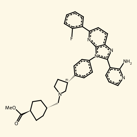 COC(=O)[C@H]1CC[C@H](CN2CC[C@H](c3ccc(-n4c(-c5cccnc5N)nc5ccc(-c6ccccc6F)nc54)cc3)C2)CC1